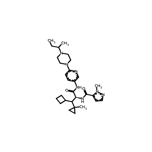 CCC(C)N1CCN(c2ccc(NC(=O)[C@@H](NC(=O)c3ccnn3C)C(C3CCC3)C3(C)CC3)cn2)CC1